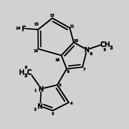 Cn1nccc1-c1cn(C)c2ccc(F)cc12